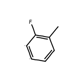 Cc1cc[c][c]c1F